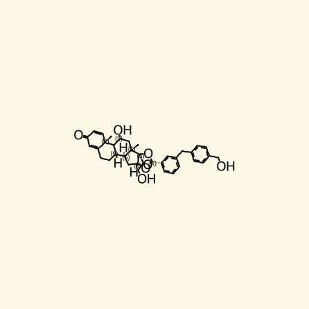 C[C@]12C=CC(=O)C=C1CC[C@@H]1C2[C@@H](O)C[C@@]2(C)[C@H]1C[C@H]1O[C@@H](c3cccc(Cc4ccc(CO)cc4)c3)O[C@]12C(=O)CO